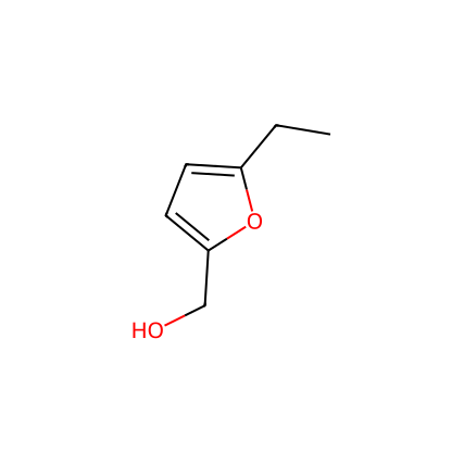 CCc1ccc(CO)o1